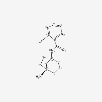 N[C@@]12CCC[C@@](NC(=O)c3ncccc3F)(CC1)C2